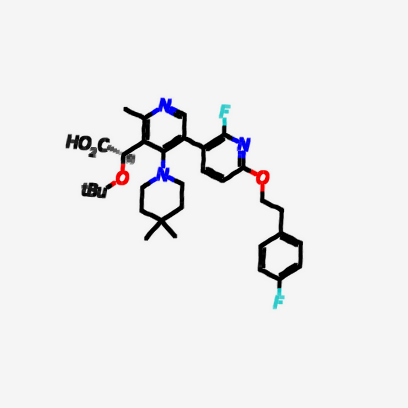 Cc1ncc(-c2ccc(OCCc3ccc(F)cc3)nc2F)c(N2CCC(C)(C)CC2)c1[C@H](OC(C)(C)C)C(=O)O